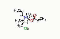 C=CCC(C)(OC(=O)C=C)[N+](C)(CC)CC=C.[Cl-]